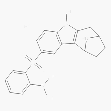 CN(C)c1ccccc1S(=O)(=O)c1ccc2c(c1)c1c(n2C)CC2CCC1N2.Cl